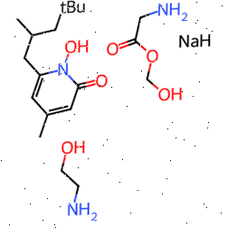 Cc1cc(CC(C)CC(C)(C)C)n(O)c(=O)c1.NCC(=O)OCO.NCCO.[NaH]